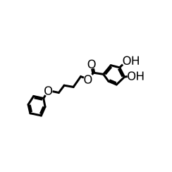 O=C(OCCCCOc1ccccc1)c1ccc(O)c(O)c1